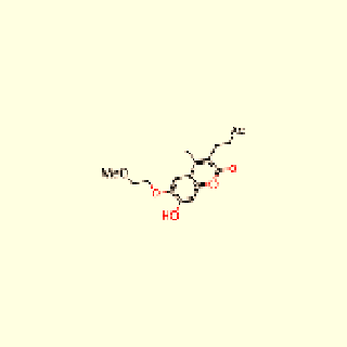 COCCOc1cc2c(C)c(CCC(C)=O)c(=O)oc2cc1O